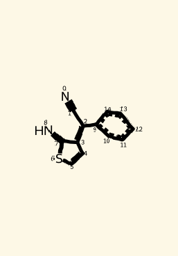 N#C/C(=C1/C=CSC1=N)c1ccccc1